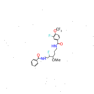 COC(CCCNC(=O)c1ccc(OC(F)(F)F)c(F)c1)C(F)CCNC(=O)c1ccccc1